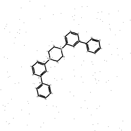 c1ccc(-c2cccc(N3CCN(c4cccc(-c5ccccc5)c4)CC3)c2)cc1